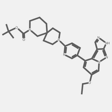 CCOc1cc(-c2ccc(N3CCC4(CCCN(C(=O)OC(C)(C)C)C4)CC3)nc2)c2c3cn[nH]c3nn2c1